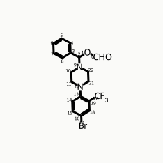 O=COC(c1ccccc1)N1CCN(c2ccc(Br)cc2C(F)(F)F)CC1